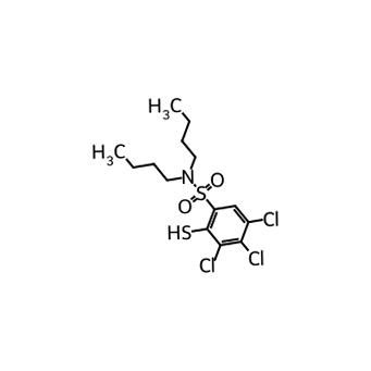 CCCCN(CCCC)S(=O)(=O)c1cc(Cl)c(Cl)c(Cl)c1S